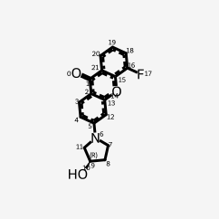 O=c1c2ccc(N3CC[C@@H](O)C3)cc2oc2c(F)cccc12